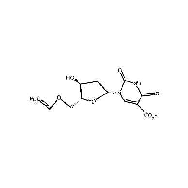 C=COC[C@H]1O[C@@H](n2cc(C(=O)O)c(=O)[nH]c2=O)C[C@@H]1O